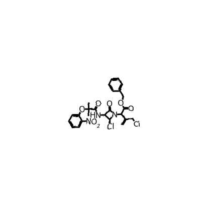 C=C(CCl)C(C(=O)OCc1ccccc1)N1C(=O)C(NC(=O)C(C)(C)Oc2ccccc2[N+](=O)[O-])C1Cl